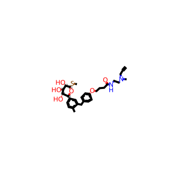 C#CCN(C)CCNC(=O)CCCOc1ccc(Cc2cc([C@@H]3O[C@H](SC)[C@@H](O)[C@H](O)[C@H]3O)ccc2C)cc1